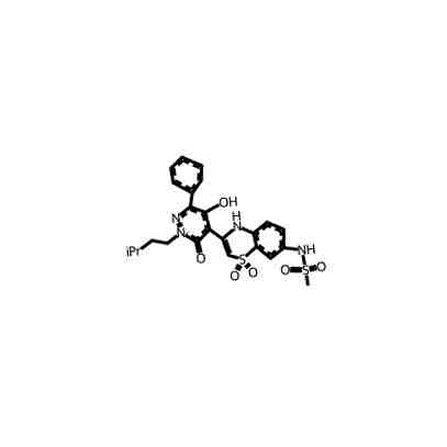 CC(C)CCn1nc(-c2ccccc2)c(O)c(C2=CS(=O)(=O)c3cc(NS(C)(=O)=O)ccc3N2)c1=O